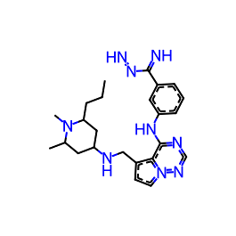 CCCC1CC(NCc2ccn3ncnc(Nc4cccc(C(=N)N=N)c4)c23)CC(C)N1C